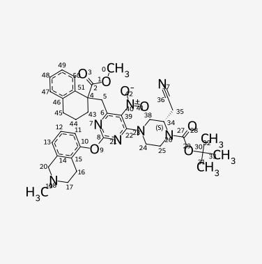 COC(=O)C1(Cc2nc(Oc3cccc4c3CCN(C)C4)nc(N3CCN(C(=O)OC(C)(C)C)[C@@H](CC#N)C3)c2[N+](=O)[O-])CCCc2ccccc21